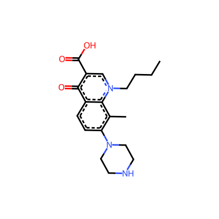 CCCCn1cc(C(=O)O)c(=O)c2ccc(N3CCNCC3)c(C)c21